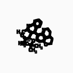 Cc1nc2ccccc2c(-c2ccc3c4c2=NCCC=4CCO3)c1[C@H](OC(C)(C)C)C(=O)O